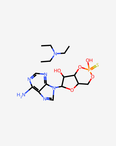 CCN(CC)CC.Nc1ncnc2c1ncn2C1OC2COP(O)(=S)OC2C1O